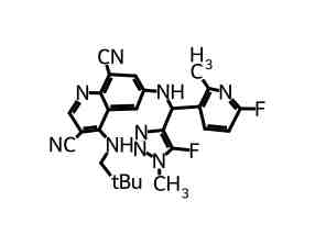 Cc1nc(F)ccc1C(Nc1cc(C#N)c2ncc(C#N)c(NCC(C)(C)C)c2c1)c1nnn(C)c1F